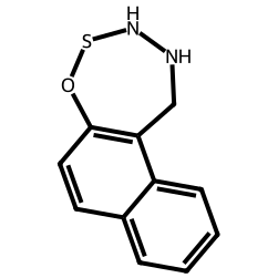 c1ccc2c3c(ccc2c1)OSNNC3